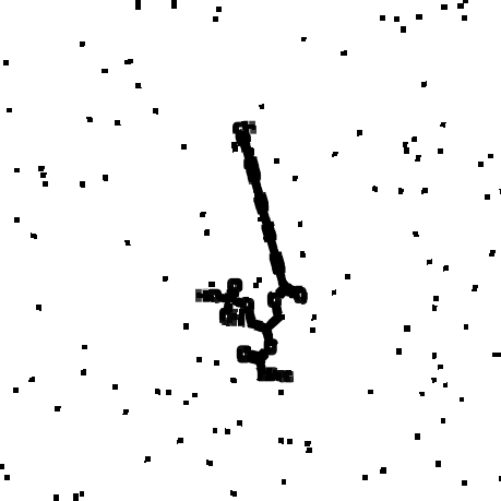 C#CC#CC#CC#CC#CC(=O)OC[C@H](COP(=O)(O)O)OC(=O)CCCCCCCCCC